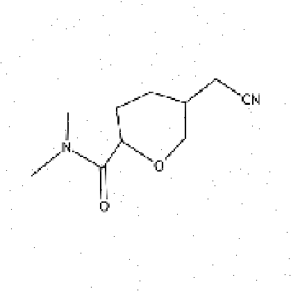 CN(C)C(=O)C1CCC(CC#N)CO1